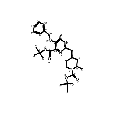 Cc1nc(CC2CCN(C(=O)OC(C)(C)C)C(C)C2)nc(C(=O)OC(C)(C)C)c1OCc1ccccc1